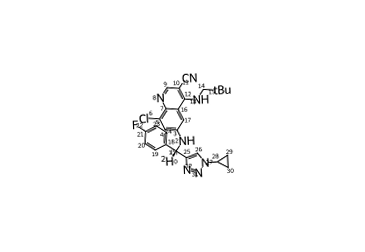 [2H][C@](Nc1cc(Cl)c2ncc(C#N)c(NCC(C)(C)C)c2c1)(c1ccc(F)cc1)c1cn(C2CC2)nn1